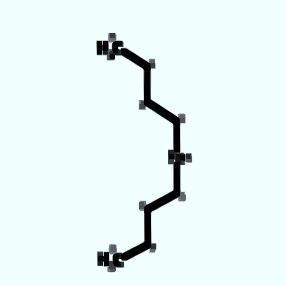 CCC[CH2][Fe][CH2]CCC